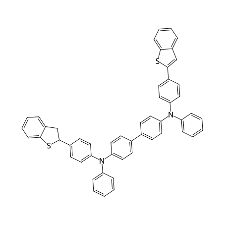 c1ccc(N(c2ccc(-c3ccc(N(c4ccccc4)c4ccc(C5Cc6ccccc6S5)cc4)cc3)cc2)c2ccc(-c3cc4ccccc4s3)cc2)cc1